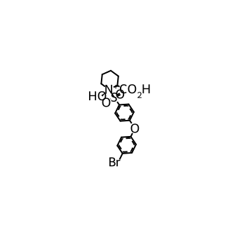 O=C(O)C1CCCC[N@@+]1(O)S(=O)(=O)c1ccc(Oc2ccc(Br)cc2)cc1